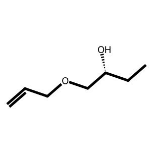 C=CCOC[C@H](O)CC